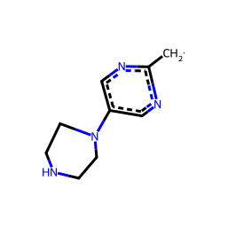 [CH2]c1ncc(N2CCNCC2)cn1